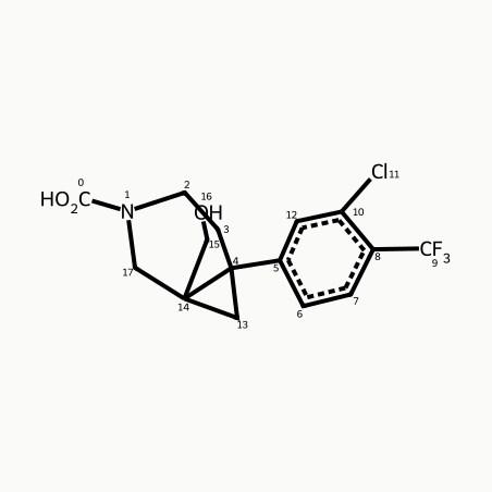 O=C(O)N1CCC2(c3ccc(C(F)(F)F)c(Cl)c3)CC2(CO)C1